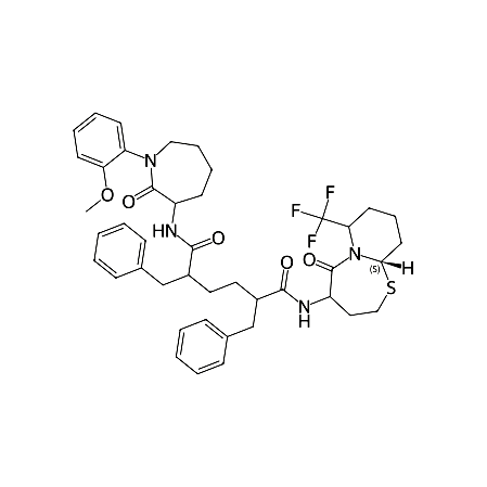 COc1ccccc1N1CCCCC(NC(=O)C(CCC(Cc2ccccc2)C(=O)NC2CCS[C@H]3CCCC(C(F)(F)F)N3C2=O)Cc2ccccc2)C1=O